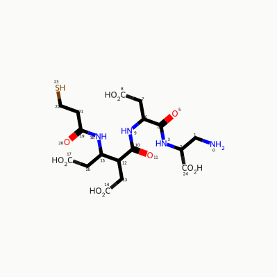 NCC(NC(=O)C(CC(=O)O)NC(=O)C(CC(=O)O)C(CC(=O)O)NC(=O)CCS)C(=O)O